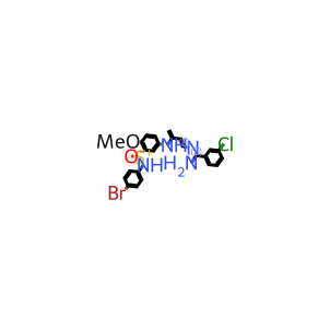 C=C(/C=C/N=C(\N)c1cccc(Cl)c1)Nc1ccc(OC)c([S+]([O-])Nc2ccc(Br)cc2)c1